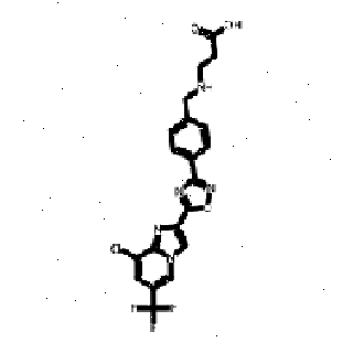 O=C(O)CCNCc1ccc(-c2noc(-c3cn4cc(C(F)(F)F)cc(Cl)c4n3)n2)cc1